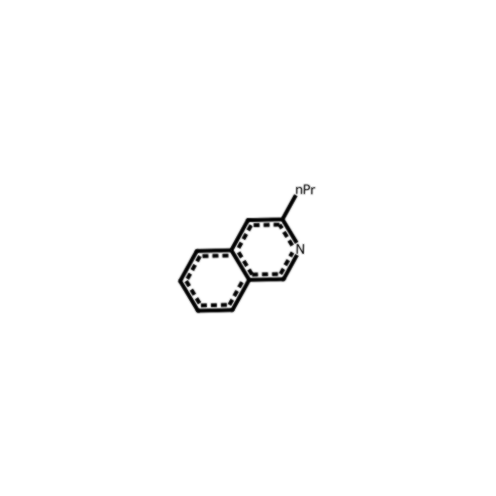 CCCc1cc2ccccc2cn1